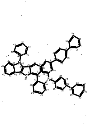 c1ccc(-c2ccc(-c3cccc(N(c4ccc(-c5ccccc5)cc4)c4ccccc4-c4cccc5c4sc4c6ccccc6n(-c6ccccc6)c54)c3)cc2)cc1